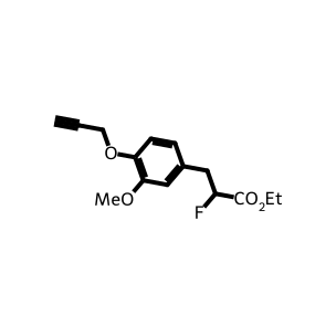 C#CCOc1ccc(CC(F)C(=O)OCC)cc1OC